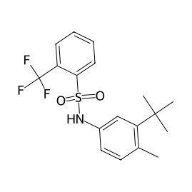 Cc1ccc(NS(=O)(=O)c2ccccc2C(F)(F)F)cc1C(C)(C)C